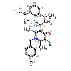 Cc1ccc(Cn2c(C)c(F)c(=O)c(C(=O)Nc3c(C(C)C)cccc3C(C)C)c2C)cc1